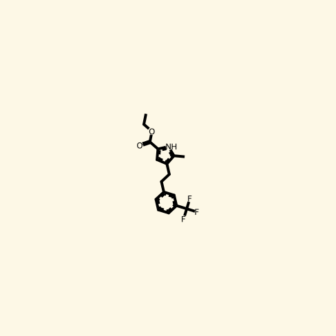 CCOC(=O)c1cc(CCc2cccc(C(F)(F)F)c2)c(C)[nH]1